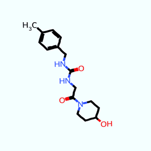 Cc1ccc(CNC(=O)NCC(=O)N2CCC(O)CC2)cc1